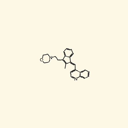 CC1=C(CCN2CCOCC2)c2ccccc2C1=Cc1ccnc2ccccc12